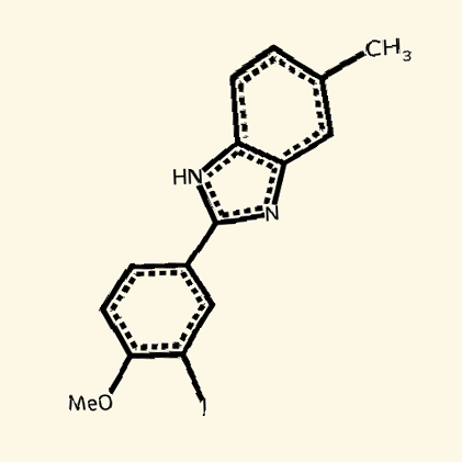 COc1ccc(-c2nc3cc(C)ccc3[nH]2)cc1I